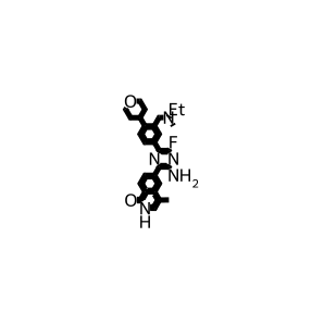 CCN(C)Cc1cc(-c2nc(-c3ccc4c(=O)[nH]cc(C)c4c3)c(N)nc2F)ccc1C1CCOCC1